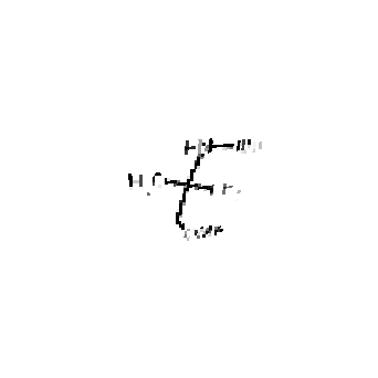 COCC(C)(C)NC(C)(C)C